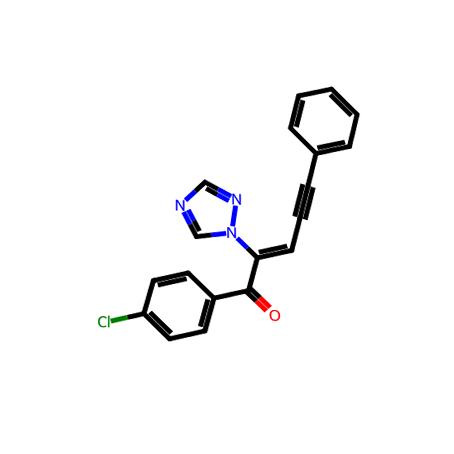 O=C(C(=CC#Cc1ccccc1)n1cncn1)c1ccc(Cl)cc1